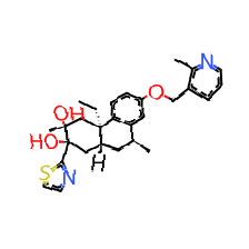 CC[C@@]12C[C@@](C)(O)[C@@](O)(c3nccs3)C[C@H]1C[C@H](C)c1cc(OCc3cccnc3C)ccc12